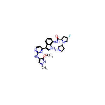 COc1nn(C)cc1Nc1nccc(-c2c[nH]c3c(NC(=O)[C@H]4C[C@H](F)CN4[C@@H]4CCNC4)cccc23)n1